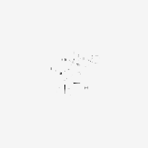 CCC(C)(C=O)OC[C@H]1O[C@@H](O)[C@H](OC(C)(C=O)CC)[C@@H](OC(C)(C=O)CC)[C@H]1OC(C)(C=O)CC